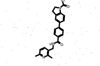 CCC(=O)N1CCc2cc(-c3ccc(C(=O)NCc4ccc(C)nc4C)cc3)ccc21